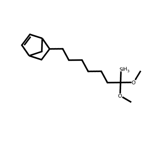 COC([SiH3])(CCCCCCC1CC2C=CC1C2)OC